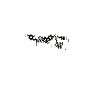 N=C(N)NCCCN(CCCN)Cc1ccc(-c2c[nH]c(NC(=O)NCCc3ccc(Cl)cc3)nc2=O)cc1